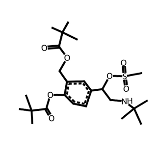 CC(C)(C)NCC(OS(C)(=O)=O)c1ccc(OC(=O)C(C)(C)C)c(COC(=O)C(C)(C)C)c1